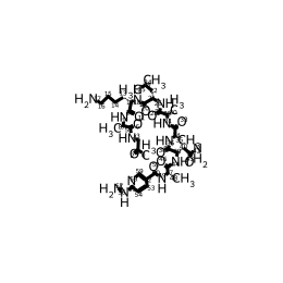 CC(=O)CNC(=O)[C@H](C)NC(=O)[C@H](CCCCN)NC(=O)[C@H](CC(C)C)NC(=O)[C@H](C)NC(=O)[C@H](C)NC(=O)[C@H](CC(N)=O)NC(=O)[C@H](C)NC(=O)c1ccc(NN)nc1